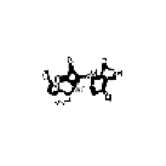 CC(C)(C)C[C@@H](Nc1c(Nc2ccc(Cl)c3c2C(=O)NC3)c(=O)c1=O)c1ccc(Cl)o1